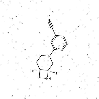 N#Cc1cncc(N2CC[C@@H]3CN[C@@H]3C2)c1